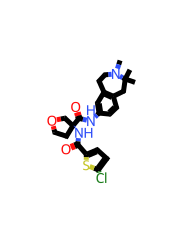 CN1CCc2cc(NC(=O)[C@]3(NC(=O)c4ccc(Cl)s4)CCOC3)ccc2CC1(C)C